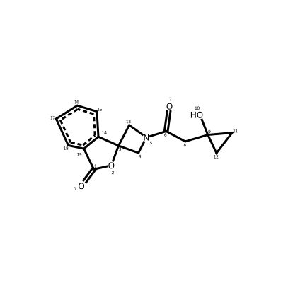 O=C1OC2(CN(C(=O)CC3(O)CC3)C2)c2ccccc21